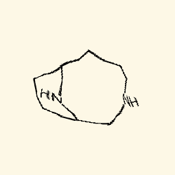 C1CC2CCC(CN1)N2